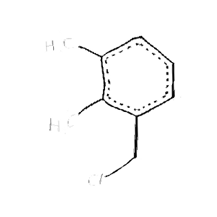 Cc1cc[c]c(CCl)c1C